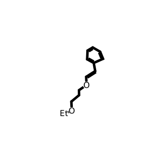 CCOCCCOC=Cc1ccccc1